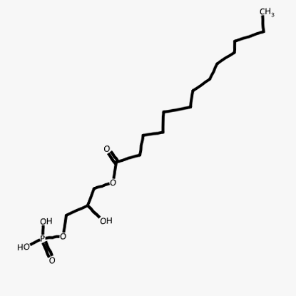 CCCCCCCCCCCCC(=O)OCC(O)COP(=O)(O)O